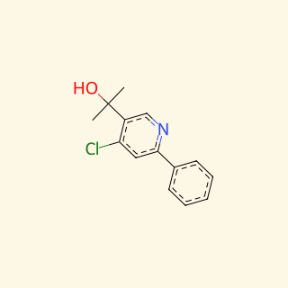 CC(C)(O)c1cnc(-c2ccccc2)cc1Cl